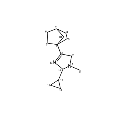 CN1CC(C23CCC(CC2)C3)=NC1C1CC1